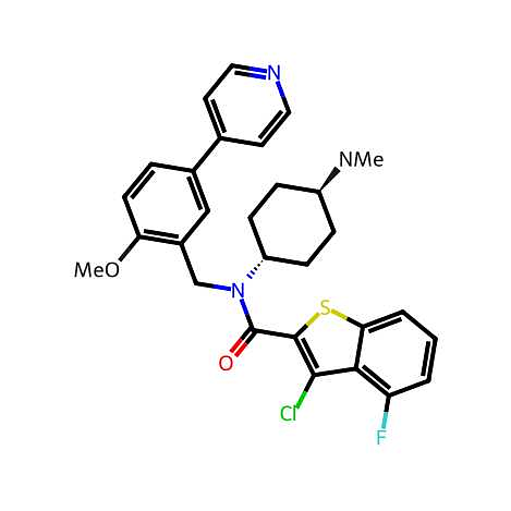 CN[C@H]1CC[C@H](N(Cc2cc(-c3ccncc3)ccc2OC)C(=O)c2sc3cccc(F)c3c2Cl)CC1